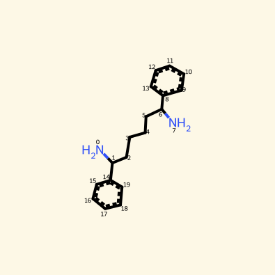 NC(CCCCC(N)c1ccccc1)c1ccccc1